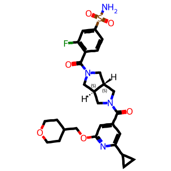 NS(=O)(=O)c1ccc(C(=O)N2C[C@@H]3CN(C(=O)c4cc(OCC5CCOCC5)nc(C5CC5)c4)C[C@H]3C2)c(F)c1